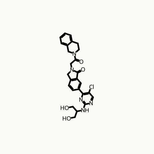 O=C(CN1Cc2ccc(-c3nc(NC(CO)CO)ncc3Cl)cc2C1=O)N1CCc2ccccc2C1